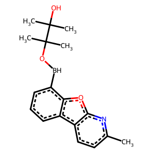 Cc1ccc2c(n1)oc1c(BOC(C)(C)C(C)(C)O)cccc12